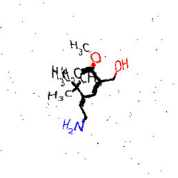 C=C(OC)/C(=C\C(=C/CN)C(C)(C)C)CO